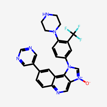 [O-][n+]1cn(-c2ccc(N3CCNCC3)c(C(F)(F)F)c2)c2c3cc(-c4cncnc4)ccc3ncc21